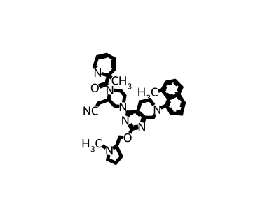 Cc1cccc2cccc(N3CCc4c(nc(OCC5CCCN5C)nc4N4CCN(C(=O)C5(C)C=CC=CC=N5)C(CC#N)C4)C3)c12